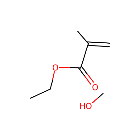 C=C(C)C(=O)OCC.CO